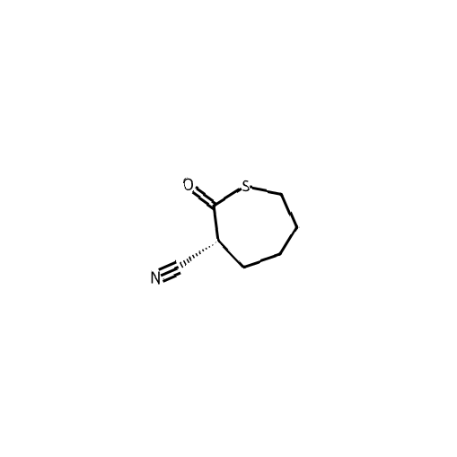 N#C[C@H]1CCCCSC1=O